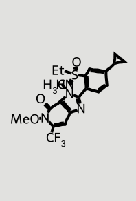 CCS(=N)(=O)c1cc(C2CC2)ccc1-c1nc2cc(C(F)(F)F)n(OC)c(=O)c2n1C